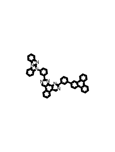 c1cc(-c2ccc3c4ccccc4c4ccccc4c3c2)cc(-c2ncc3c4ccccc4c4cnc(-c5cccc(-n6c7ccccc7n7c8ccccc8nc67)c5)nc4c3n2)c1